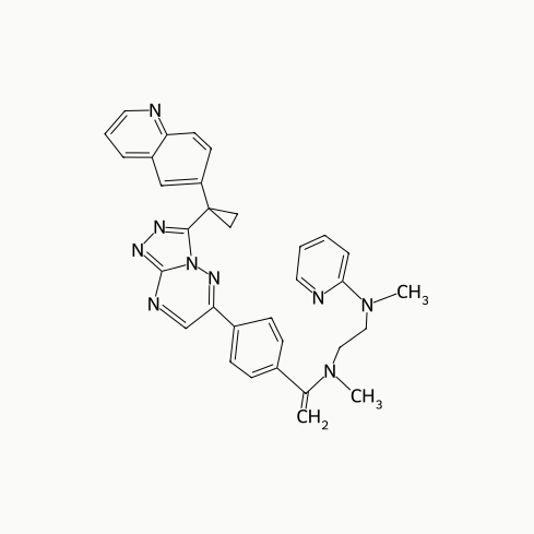 C=C(c1ccc(-c2cnc3nnc(C4(c5ccc6ncccc6c5)CC4)n3n2)cc1)N(C)CCN(C)c1ccccn1